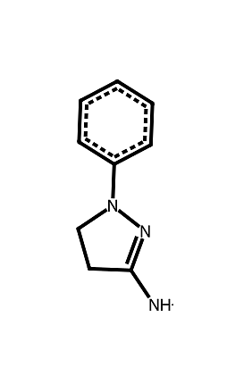 [NH]C1=NN(c2ccccc2)CC1